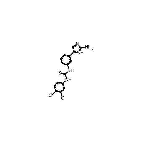 Nc1ncc(-c2cccc(NC(=S)Nc3ccc(Cl)c(Cl)c3)c2)[nH]1